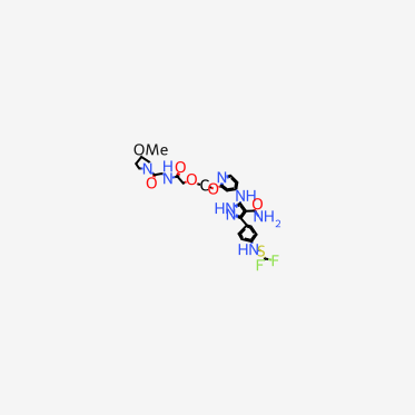 COC1CCN(C(=O)CNC(=O)COCCOc2cc(Nc3[nH]nc(-c4ccc(NSC(F)F)cc4)c3C(N)=O)ccn2)C1